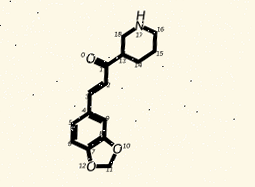 O=C(C=Cc1ccc2c(c1)OCO2)C1CCCNC1